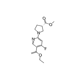 C=C(OCC)c1cnc(N2CC[C@H](C(=O)OC)C2)cc1F